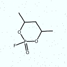 CC1CC(C)OP(=O)(F)O1